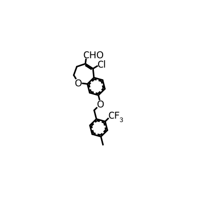 Cc1ccc(COc2ccc3c(c2)OCCC(C=O)=C3Cl)c(C(F)(F)F)c1